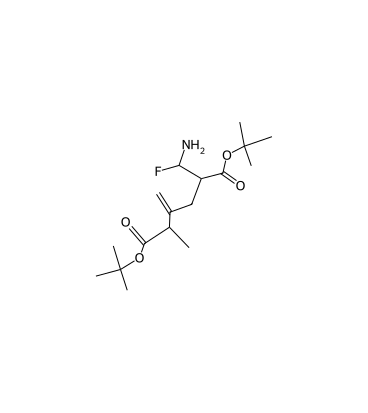 C=C(CC(C(=O)OC(C)(C)C)C(N)F)C(C)C(=O)OC(C)(C)C